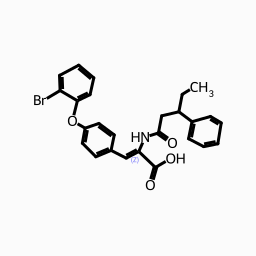 CCC(CC(=O)N/C(=C\c1ccc(Oc2ccccc2Br)cc1)C(=O)O)c1ccccc1